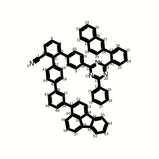 N#Cc1cccc(-c2ccc(-c3nc(-c4ccccc4)nc(-c4ccccc4-c4ccc5ccccc5c4)n3)cc2)c1-c1ccc(-c2cccc(-c3ccc4c5c(cccc35)-c3ccccc3-4)c2)cc1